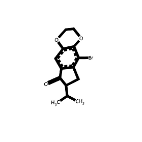 CC(C)C1Cc2c(cc3c(c2Br)OCCO3)C1=O